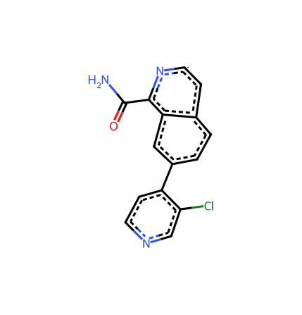 NC(=O)c1n[c]cc2ccc(-c3ccncc3Cl)cc12